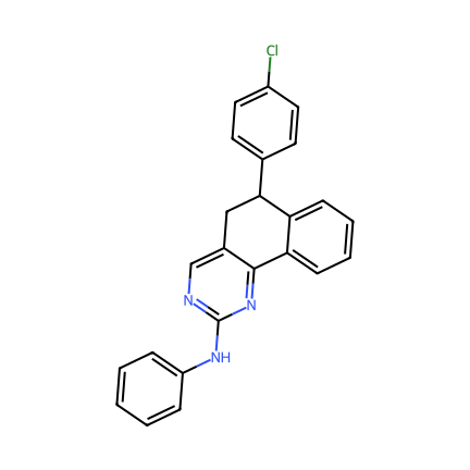 Clc1ccc(C2Cc3cnc(Nc4ccccc4)nc3-c3ccccc32)cc1